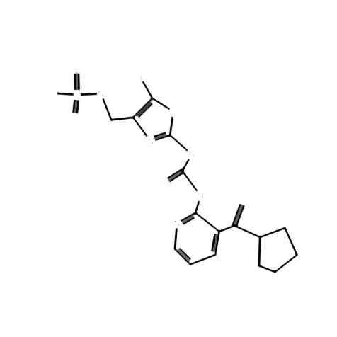 CS(=O)(=O)NCc1nc(NC(=O)Nc2ncccc2C(=O)C2CCCC2)sc1Cl